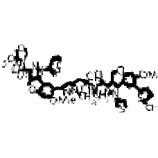 COc1cc2c(cc1-c1cc(CC(C)(C)N(C)C(=O)c3nn(-c4ccsc4)c4c3COc3cc(OC)c(-c5ccc(C)s5)cc3-4)n(C)n1)-c1c(c(C(=O)N3CCOCC3(C)C)nn1-c1ccsc1)CO2